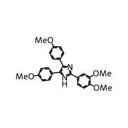 COc1ccc(-c2nc(-c3ccc(OC)c(OC)c3)[nH]c2-c2ccc(OC)cc2)cc1